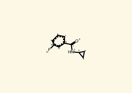 O=C(NC1CC1)c1cc[c]c(F)c1